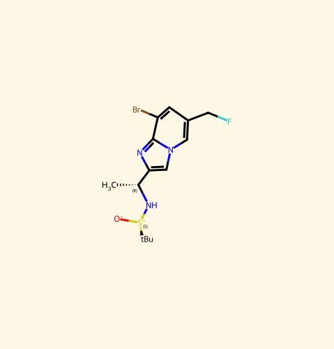 C[C@@H](N[S@+]([O-])C(C)(C)C)c1cn2cc(CF)cc(Br)c2n1